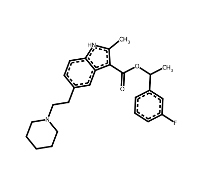 Cc1[nH]c2ccc(CCN3CCCCC3)cc2c1C(=O)OC(C)c1cccc(F)c1